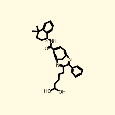 CC1(C)CC[C@H](NC(=O)C2=CC=C3CC(=C2)N=C(CCCCC(O)O)C(c2ccccc2)=N3)c2ccccc21